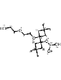 CC1(C)CC(OCCOCCO)(C2(OP(O)O)CC(C)(C)C2)C1